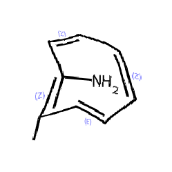 CC1=C(N)\C=C/C=C\C=C\1